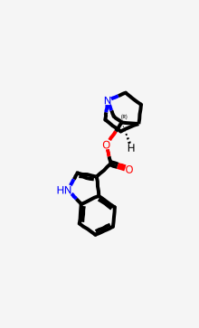 O=C(O[C@H]1CN2CCC1CC2)c1c[nH]c2ccccc12